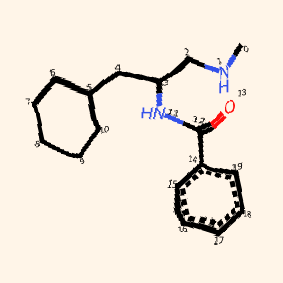 CNCC(CC1CCCCC1)NC(=O)c1ccccc1